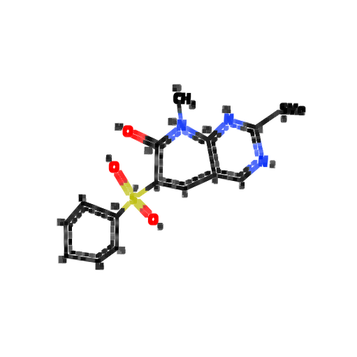 CSc1ncc2cc(S(=O)(=O)c3ccccc3)c(=O)n(C)c2n1